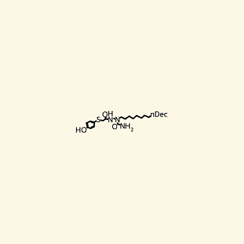 CCCCCCCCCCCCCCCCCCN(CNC(=O)CSc1ccc(O)cc1)C(N)=O